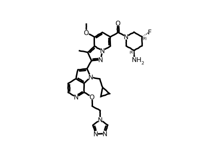 COc1cc(C(=O)N2C[C@H](N)C[C@@H](F)C2)cn2nc(-c3cc4ccnc(OCCn5cnnc5)c4n3CC3CC3)c(C)c12